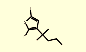 CCCC(C)(C)c1cc(I)sc1F